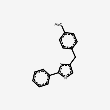 COc1ccc(Cc2cnc(-c3[c]cccc3)s2)cc1